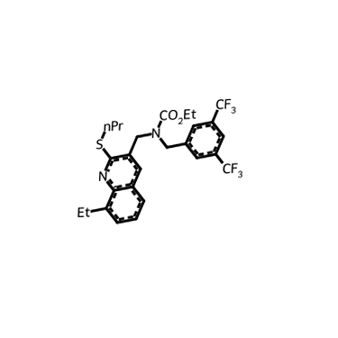 CCCSc1nc2c(CC)cccc2cc1CN(Cc1cc(C(F)(F)F)cc(C(F)(F)F)c1)C(=O)OCC